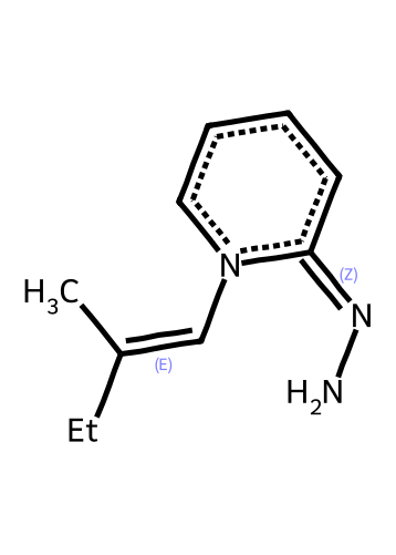 CC/C(C)=C/n1cccc/c1=N/N